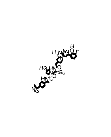 Cc1ncsc1-c1ccc(C(C)NC(=O)[C@@H]2C[C@@H](O)CN2C(=O)C(NC(=O)CC2CCN(c3cc(-c4cccc(F)c4O)nnc3N)CC2)C(C)(C)C)cc1